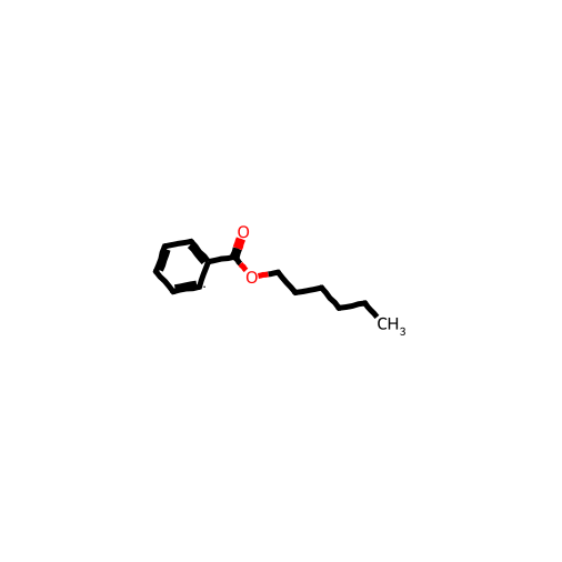 CCCCCCOC(=O)c1[c]cccc1